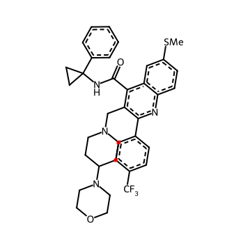 CSc1ccc2nc(-c3ccc(C(F)(F)F)cc3)c(CN3CCC(N4CCOCC4)CC3)c(C(=O)NC3(c4ccccc4)CC3)c2c1